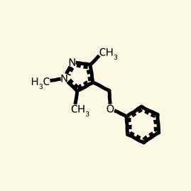 Cc1nn(C)c(C)c1COc1ccccc1